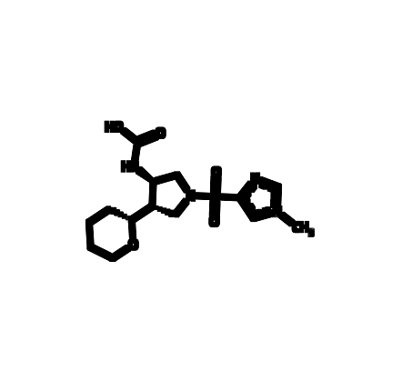 Cn1cnc(S(=O)(=O)N2C[C@H]([C@H]3CCCCO3)[C@@H](NC(=O)O)C2)c1